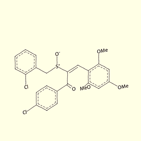 COc1cc(OC)c(C=C(C(=O)c2ccc(Cl)cc2)[S+]([O-])Cc2ccccc2Cl)c(OC)c1